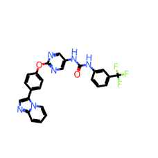 O=C(Nc1cnc(Oc2ccc(-c3cnc4ccccn34)cc2)nc1)Nc1cccc(C(F)(F)F)c1